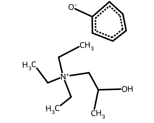 CC[N+](CC)(CC)CC(C)O.[O-]c1ccccc1